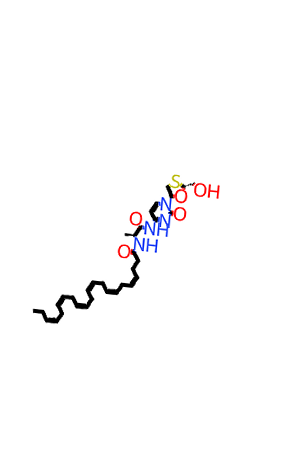 CC/C=C\C/C=C\C/C=C\C/C=C\C/C=C\C/C=C\CCC(=O)N[C@@H](C)C(=O)Nc1ccn([C@@H]2CS[C@H](CO)O2)c(=O)n1